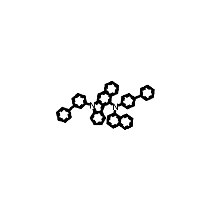 c1ccc(-c2ccc(N(c3cccc4ccccc34)c3c4ccccc4cc4c3c3ccccc3n4-c3cccc(-c4ccccc4)c3)cc2)cc1